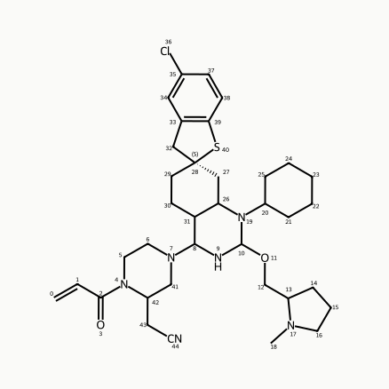 C=CC(=O)N1CCN(C2NC(OCC3CCCN3C)N(C3CCCCC3)C3C[C@]4(CCC23)Cc2cc(Cl)ccc2S4)CC1CC#N